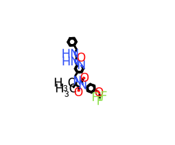 CC1(C)C(=O)N(c2ccc(OC(F)(F)F)cc2)C(=O)N1Cc1ccnc(NC(=O)NCc2ccccc2)c1